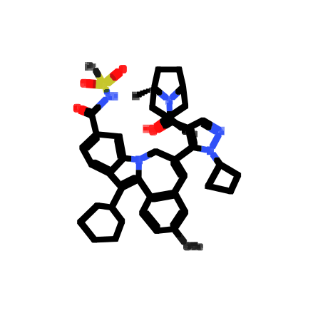 COc1ccc2c(c1)C=C(c1c(C(=O)N3C4CC[C@@H]3CC(C)(O)C4)cnn1C1CCC1)Cn1c-2c(C2CCCCC2)c2ccc(C(=O)NS(=O)(=O)C(C)C)cc21